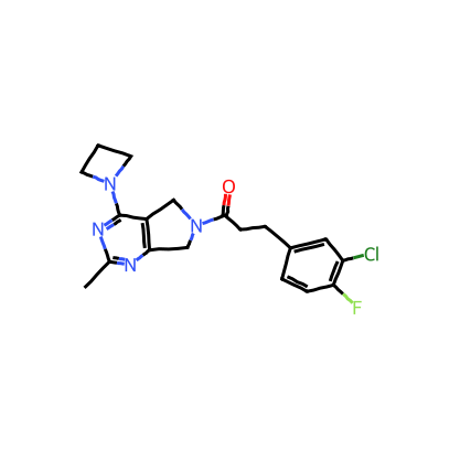 Cc1nc2c(c(N3CCC3)n1)CN(C(=O)CCc1ccc(F)c(Cl)c1)C2